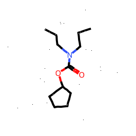 CCCN(CCC)C(=O)OC1CCCC1